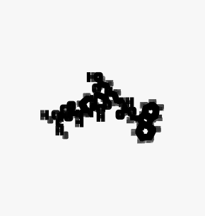 CC(C)(C)OC(=O)NC1=CCN(CC(=O)N(CCNC(=O)OCC2c3ccccc3-c3ccccc32)CC(=O)O)C(O)=N1